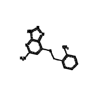 Cc1ccccc1CSc1cc(N)nc2[nH]nnc12